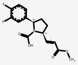 COC(=O)/C=C/[C@@H]1CC[C@H](c2ccc(F)c(F)c2)N1C(=O)O